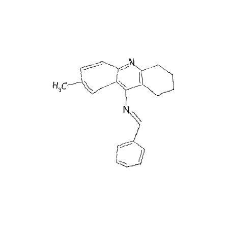 Cc1ccc2nc3c(c(/N=C/c4ccccc4)c2c1)CCCC3